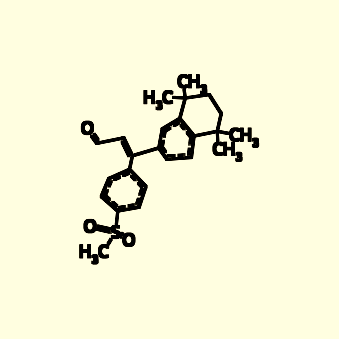 CC1(C)CCC(C)(C)c2cc(C(=CC=O)c3ccc(S(C)(=O)=O)cc3)ccc21